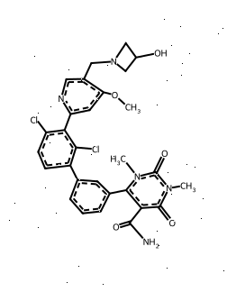 COc1cc(-c2c(Cl)ccc(-c3cccc(-c4c(C(N)=O)c(=O)n(C)c(=O)n4C)c3)c2Cl)ncc1CN1CC(O)C1